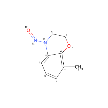 Cc1cccc2c1OCCN2N=O